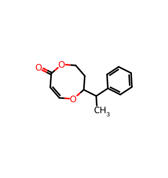 CC(c1ccccc1)C1CCOC(=O)C=CO1